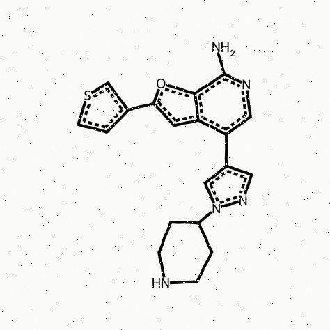 Nc1ncc(-c2cnn(C3CCNCC3)c2)c2cc(-c3ccsc3)oc12